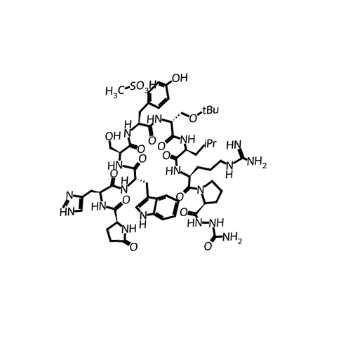 CC(C)C[C@H](NC(=O)[C@@H](COC(C)(C)C)NC(=O)[C@H](Cc1ccc(O)cc1)NC(=O)[C@H](CO)NC(=O)[C@H](Cc1c[nH]c2ccccc12)NC(=O)[C@H](Cc1c[nH]cn1)NC(=O)[C@@H]1CCC(=O)N1)C(=O)N[C@@H](CCCNC(=N)N)C(=O)N1CCC[C@H]1C(=O)NNC(N)=O.CS(=O)(=O)O